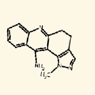 Cn1ncc2c1-c1c(nc3ccccc3c1N)CC2